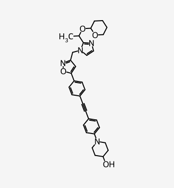 CC(OC1CCCCO1)c1nccn1Cc1cc(-c2ccc(C#Cc3ccc(N4CCC(O)CC4)cc3)cc2)on1